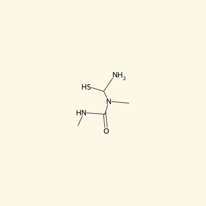 CNC(=O)N(C)C(N)S